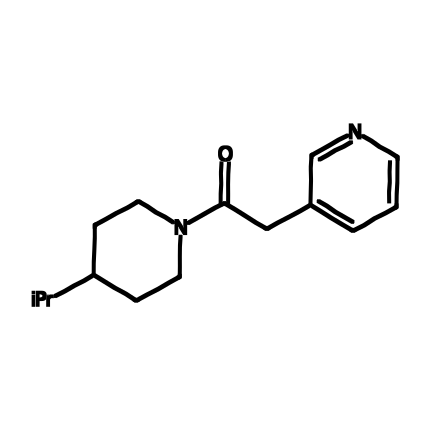 CC(C)C1CCN(C(=O)Cc2cccnc2)CC1